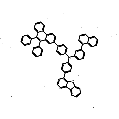 c1ccc(-c2c(-c3ccccc3)c3cc(-c4ccc(N(c5ccc(-c6cccc7c6oc6ccccc67)cc5)c5cccc(-c6cccc7ccccc67)c5)cc4)ccc3c3ccccc23)cc1